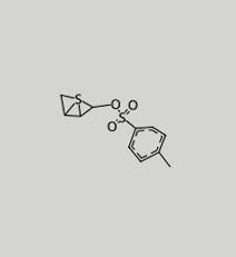 Cc1ccc(S(=O)(=O)OC2C3C4CS423)cc1